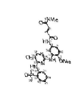 CNC(=O)/C=C/C(=O)Nc1ccc(OC)c(Nc2ncc(Cl)c(Nc3ccccc3P(C)(C)=O)n2)c1